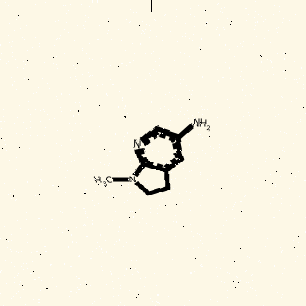 CN1CCc2cc(N)cnc21